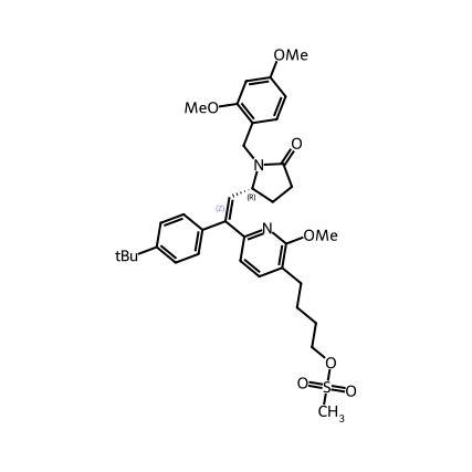 COc1ccc(CN2C(=O)CC[C@@H]2/C=C(/c2ccc(C(C)(C)C)cc2)c2ccc(CCCCOS(C)(=O)=O)c(OC)n2)c(OC)c1